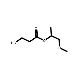 COCC(C)OC(=O)CCO